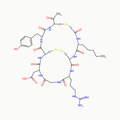 CCCCCC1NC(=O)CSCC(C(C)=O)NC(=O)C(Cc2ccc(O)cc2)NC(=O)C2CSSCC(NC1=O)C(=O)NC(CCCNC(=N)N)C(=O)NCC(=O)NC(CC(=O)O)C(=O)N2